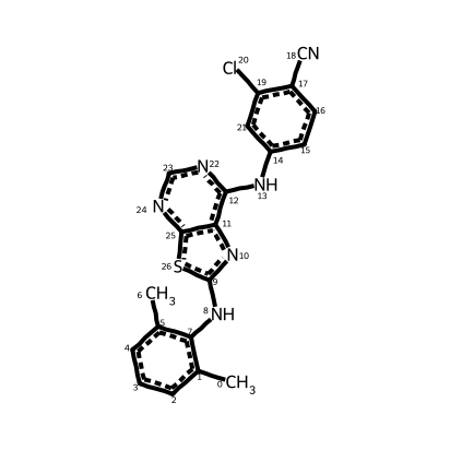 Cc1cccc(C)c1Nc1nc2c(Nc3ccc(C#N)c(Cl)c3)ncnc2s1